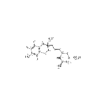 Cc1c(C)c2c(c(C)c1O)CCC(C)(CCCC(CCC(=O)O)NC(=N)N)O2.Cl